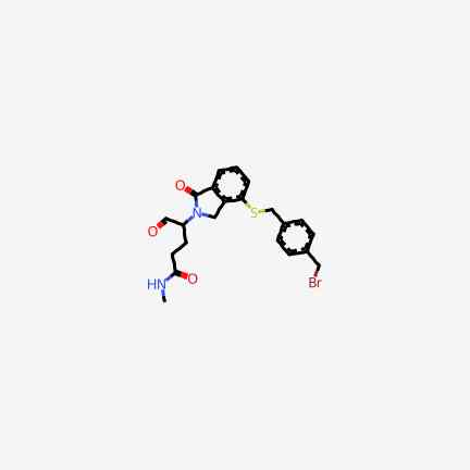 CNC(=O)CCC(C=O)N1Cc2c(SCc3ccc(CBr)cc3)cccc2C1=O